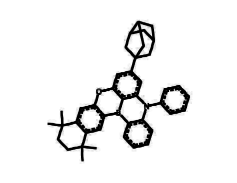 CC1(C)CCC(C)(C)c2cc3c(cc21)Oc1cc(C24CC5CC(C2)C(C5)C4)cc2c1B3c1ccccc1N2c1ccccc1